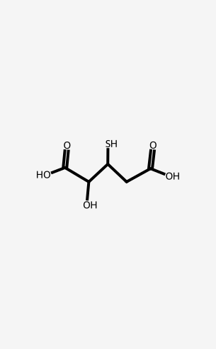 O=C(O)CC(S)C(O)C(=O)O